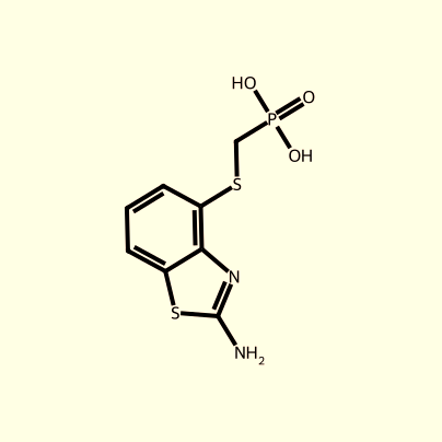 Nc1nc2c(SCP(=O)(O)O)cccc2s1